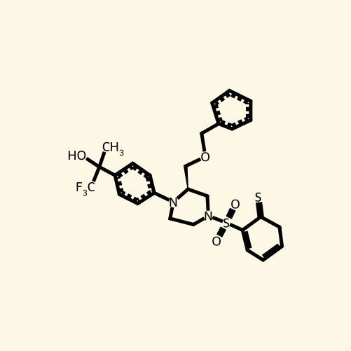 CC(O)(c1ccc(N2CCN(S(=O)(=O)C3=CC=CCC3=S)C[C@@H]2COCc2ccccc2)cc1)C(F)(F)F